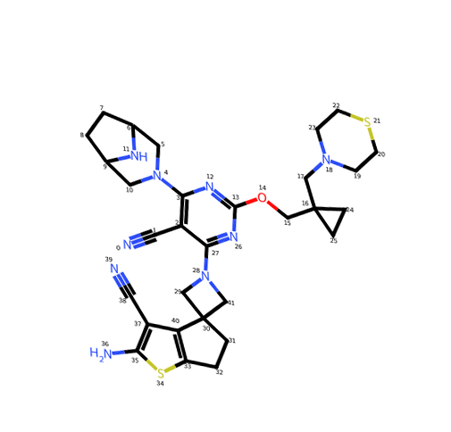 N#Cc1c(N2CC3CCC(C2)N3)nc(OCC2(CN3CCSCC3)CC2)nc1N1CC2(CCc3sc(N)c(C#N)c32)C1